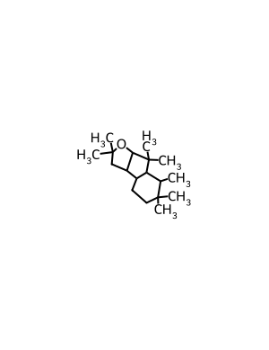 CC1C2C(CCC1(C)C)C1CC(C)(C)OC1C2(C)C